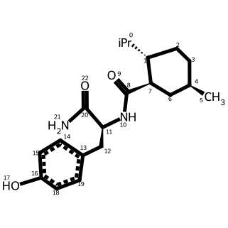 CC(C)[C@@H]1CC[C@@H](C)C[C@H]1C(=O)N[C@@H](Cc1ccc(O)cc1)C(N)=O